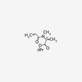 C=CC(=O)N(C)[C@@H](C)C(=O)OCCC